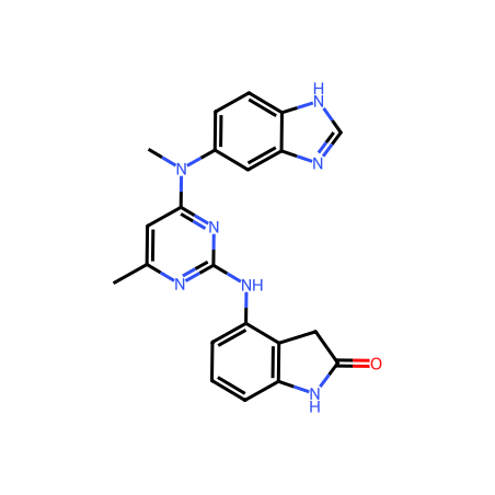 Cc1cc(N(C)c2ccc3[nH]cnc3c2)nc(Nc2cccc3c2CC(=O)N3)n1